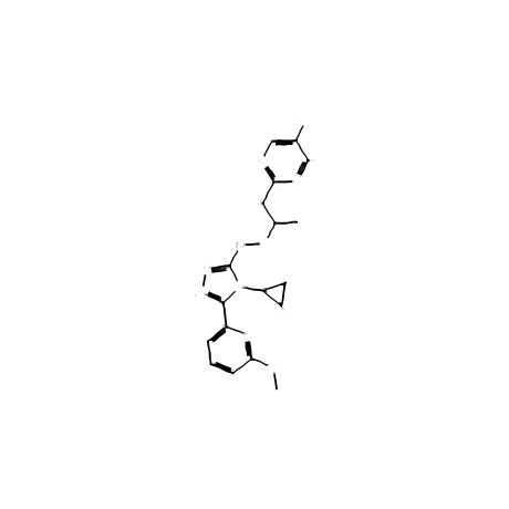 COc1cccc(-c2nnc(NSC(C)Cc3ncc(Cl)cn3)n2C2CC2)n1